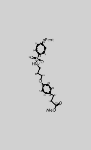 CCCCCc1ccc(S(=O)(=O)NCCCOc2ccc(CCC(=O)OC)cc2)cc1